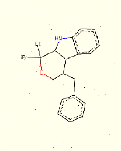 CCC1(C(C)C)OCC(Cc2ccccc2)C2c3ccccc3NC21